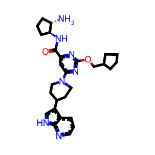 N[C@H]1CCC[C@@H]1NC(=O)c1cc(N2CCC(c3c[nH]c4ncccc34)CC2)nc(OCC2CCCC2)n1